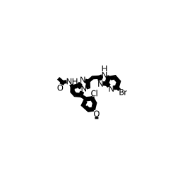 COc1ccc(-c2ccc(NC(C)=O)c3nc(Cc4nc5nc(Br)ccc5[nH]4)cn23)c(Cl)c1